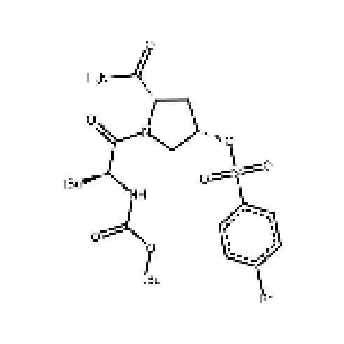 CC(C)(C)OC(=O)N[C@H](C(=O)N1C[C@@H](OS(=O)(=O)c2ccc(Br)cc2)C[C@H]1C(N)=O)C(C)(C)C